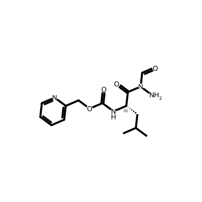 CC(C)C[C@H](NC(=O)OCc1ccccn1)C(=O)N(N)C=O